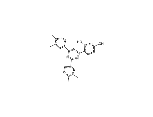 Cc1ccc(-c2nc(-c3ccc(C)c(C)c3)nc(-c3ccc(O)cc3O)n2)cc1C